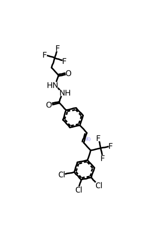 O=C(CC(F)(F)F)NNC(=O)c1ccc(/C=C/C(c2cc(Cl)c(Cl)c(Cl)c2)C(F)(F)F)cc1